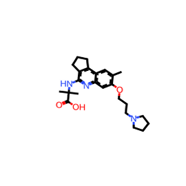 Cc1cc2c3c(c(NC(C)(C)C(=O)O)nc2cc1OCCCN1CCCC1)CCC3